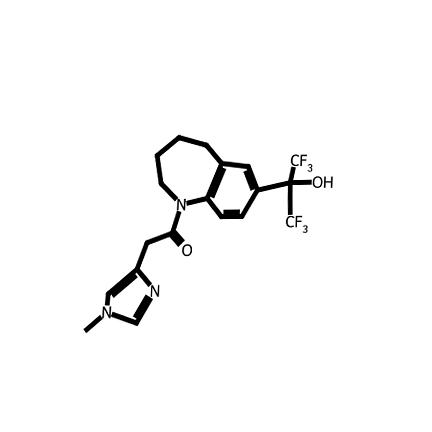 Cn1cnc(CC(=O)N2CCCCc3cc(C(O)(C(F)(F)F)C(F)(F)F)ccc32)c1